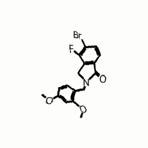 COc1ccc(CN2Cc3c(ccc(Br)c3F)C2=O)c(OC)c1